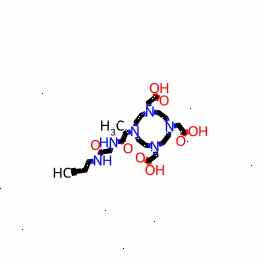 C#CCCNC(=O)CNC(=O)C(C)N1CCN(CC(=O)O)CCN(CC(=O)O)CCN(CC(=O)O)CC1